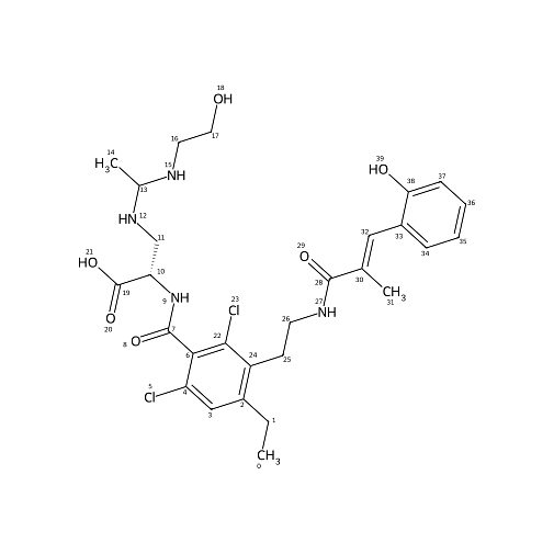 CCc1cc(Cl)c(C(=O)N[C@@H](CNC(C)NCCO)C(=O)O)c(Cl)c1CCNC(=O)/C(C)=C/c1ccccc1O